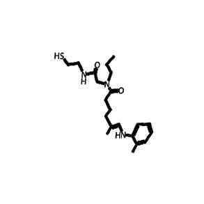 CCCN(CC(=O)NCCS)C(=O)CCC/C(C)=C/Nc1ccccc1C